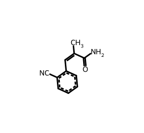 CC(=Cc1ccccc1C#N)C(N)=O